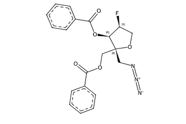 [N-]=[N+]=NC[C@]1(COC(=O)c2ccccc2)OC[C@H](F)[C@@H]1OC(=O)c1ccccc1